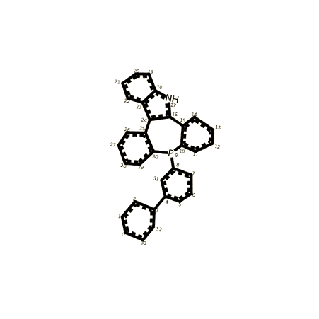 c1ccc(-c2cccc(P3c4ccccc4-c4[nH]c5ccccc5c4-c4ccccc43)c2)cc1